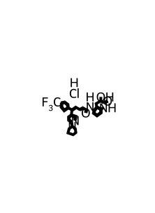 Cl.O=C(/C=C/C=C(/c1ccc(C(F)(F)F)cc1)c1ccc(N2CCCCC2)nc1)Nc1cccc2c1CC(O)C(=O)N2